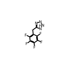 Fc1c(F)c(F)c([CH]c2nnn[nH]2)c(F)c1F